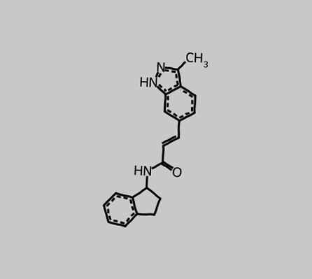 Cc1n[nH]c2cc(C=CC(=O)NC3CCc4ccccc43)ccc12